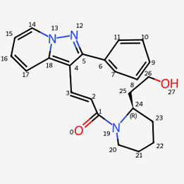 O=C(C=Cc1c(-c2ccccc2)nn2ccccc12)N1CCCC[C@@H]1CCO